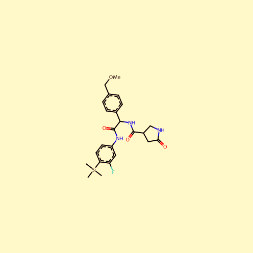 COCc1ccc(C(NC(=O)C2CNC(=O)C2)C(=O)Nc2ccc([Si](C)(C)C)c(F)c2)cc1